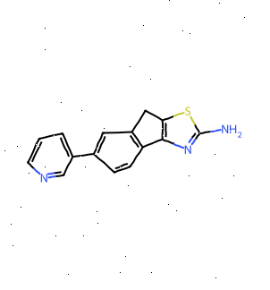 Nc1nc2c(s1)Cc1cc(-c3cccnc3)ccc1-2